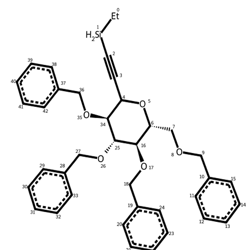 CC[SiH2]C#CC1O[C@H](COCc2ccccc2)[C@@H](OCc2ccccc2)[C@H](OCc2ccccc2)[C@H]1OCc1ccccc1